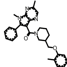 Cc1cnc2c(C(=O)N3CCCC(COc4ccccc4C)C3)c(-c3ccccc3)n(C)c2n1